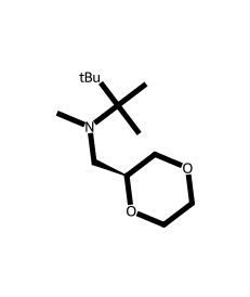 CN(C[C@H]1COCCO1)C(C)(C)C(C)(C)C